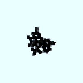 COc1nc(Cl)cc2c1[C@]1(O)[C@H](O)[C@H](C(=O)N(C)C)[C@@H](c3ccccc3)[C@]1(c1ccc(Br)cc1)O2